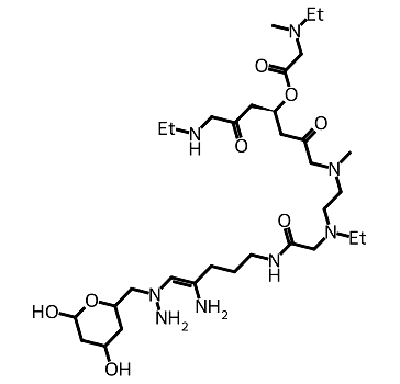 CCNCC(=O)C[C@H](CC(=O)CN(C)CCN(CC)CC(=O)NCCC/C(N)=C/N(N)CC1CC(O)CC(O)O1)OC(=O)CN(C)CC